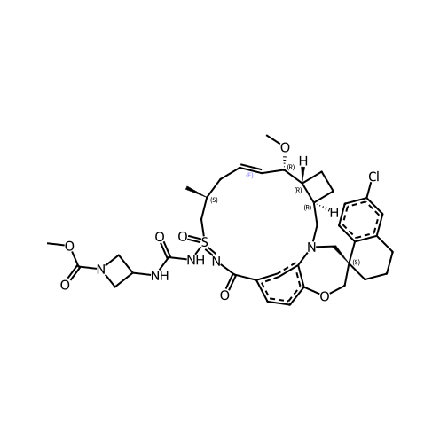 COC(=O)N1CC(NC(=O)NS2(=O)=NC(=O)c3ccc4c(c3)N(C[C@@H]3CC[C@H]3[C@@H](OC)/C=C/C[C@H](C)C2)C[C@@]2(CCCc3cc(Cl)ccc32)CO4)C1